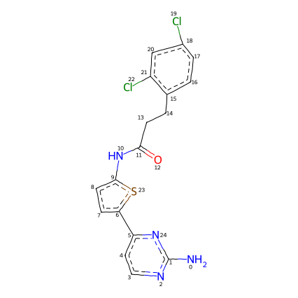 Nc1nccc(-c2ccc(NC(=O)CCc3ccc(Cl)cc3Cl)s2)n1